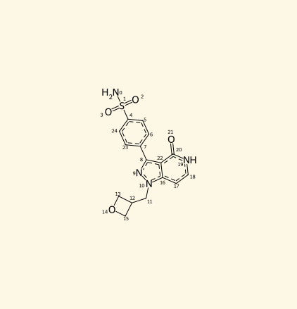 NS(=O)(=O)c1ccc(-c2nn(CC3COC3)c3cc[nH]c(=O)c23)cc1